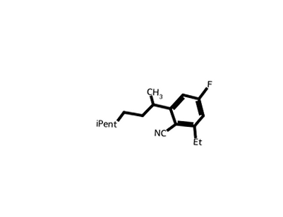 C[CH]CC(C)CCC(C)c1cc(F)cc(CC)c1C#N